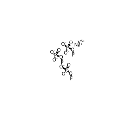 O=P([O-])([O-])OF.O=P([O-])([O-])OF.O=P([O-])([O-])OF.[Na+].[V+5]